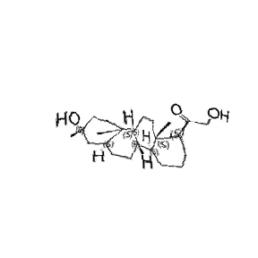 C[C@@]1(O)CC[C@@]2(C)[C@@H](CC[C@@H]3[C@@H]2CC[C@]2(C)[C@@H](C(=O)CO)CCC[C@@H]32)C1